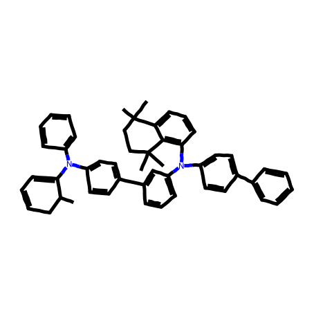 CC1CC=CC=C1N(c1ccccc1)c1ccc(-c2cccc(N(c3ccc(-c4ccccc4)cc3)c3cccc4c3C(C)(C)CCC4(C)C)c2)cc1